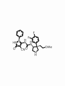 COCC[C@@]1(c2ccc(F)c(F)c2)CNC[C@H]1NC(=O)Nc1c(C#N)c(=O)[nH]n1-c1ccccc1